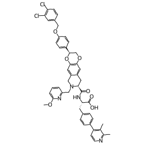 COc1cccc(CN2Cc3cc4c(cc3C[C@H]2C(=O)N[C@@H](Cc2ccc(-c3ccnc(C)c3C)cc2)C(=O)O)OC[C@H](c2ccc(OCc3ccc(Cl)c(Cl)c3)cc2)O4)n1